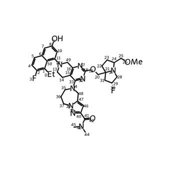 CCc1c(F)ccc2cc(O)cc(N3CCc4c(nc(OCC56CCC(COC)N5C[C@H](F)C6)nc4N4CCCn5nc(C(=O)N(C)C)cc5C4)C3)c12